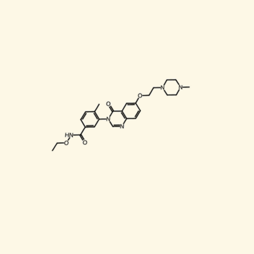 CCONC(=O)c1ccc(C)c(-n2cnc3ccc(OCCN4CCN(C)CC4)cc3c2=O)c1